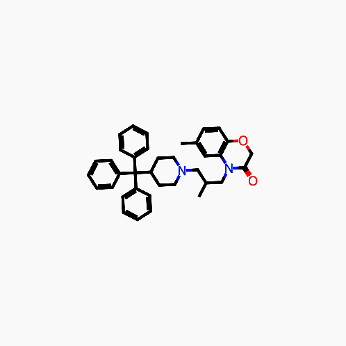 Cc1ccc2c(c1)N(CC(C)CN1CCC(C(c3ccccc3)(c3ccccc3)c3ccccc3)CC1)C(=O)CO2